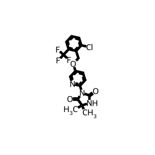 CC1(C)NC(=O)N(c2ccc(OCc3c(Cl)cccc3C(F)(F)F)cn2)C1=O